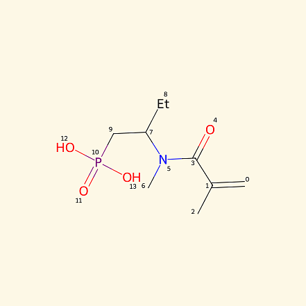 C=C(C)C(=O)N(C)C(CC)CP(=O)(O)O